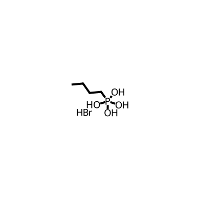 Br.CCCCP(O)(O)(O)O